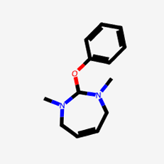 CN1CC=CCN(C)C1Oc1ccccc1